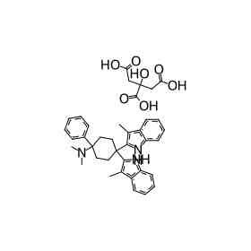 Cc1c(C2(c3[nH]c4ccccc4c3C)CCC(c3ccccc3)(N(C)C)CC2)[nH]c2ccccc12.O=C(O)CC(O)(CC(=O)O)C(=O)O